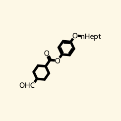 CCCCCCCOc1ccc(OC(=O)C2CCC(C=O)CC2)cc1